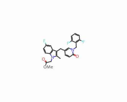 COC(=O)Cn1c(C)c(Cc2ccc(=O)n(Cc3c(F)cccc3F)c2)c2cc(F)ccc21